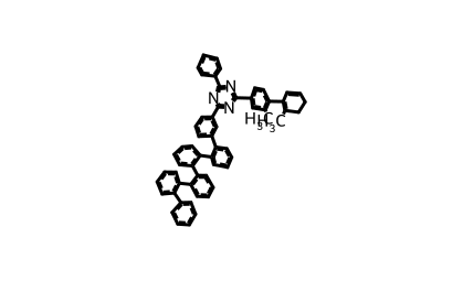 CC1=C(c2ccc(-c3nc(-c4ccccc4)nc(-c4cccc(-c5ccccc5-c5ccccc5-c5ccccc5-c5ccccc5-c5ccccc5)c4)n3)cc2C)C=CCC1